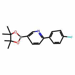 CC1(C)OB(c2ccc(-c3ccc(F)cc3)nc2)OC1(C)C